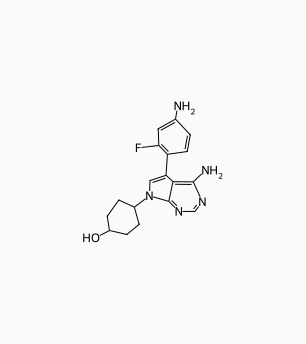 Nc1ccc(-c2cn(C3CCC(O)CC3)c3ncnc(N)c23)c(F)c1